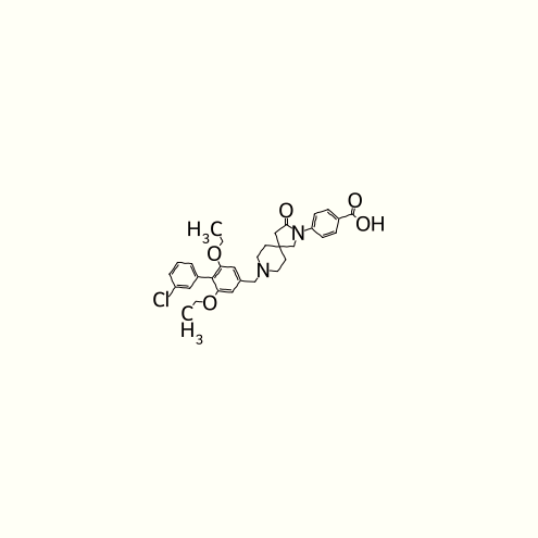 CCOc1cc(CN2CCC3(CC2)CC(=O)N(c2ccc(C(=O)O)cc2)C3)cc(OCC)c1-c1cccc(Cl)c1